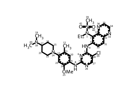 CCN(c1c(Nc2nc(Nc3cc(C)c(N4CCC(N(C)C)CC4)cc3OC)ncc2Cl)ccc2nccnc12)S(C)(=O)=O